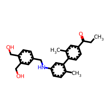 CCC(=O)c1ccc(-c2cc(NCc3ccc(CO)c(CO)c3)ccc2C)c(C)c1